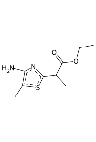 CCOC(=O)C(C)c1nc(N)c(C)s1